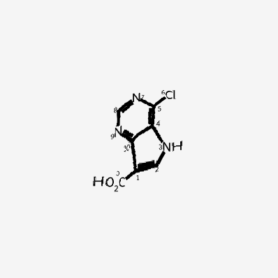 O=C(O)c1c[nH]c2c(Cl)ncnc12